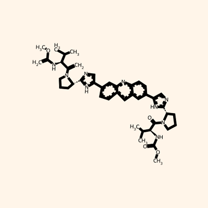 C=C(N[C@H](C(=C)N1CCC[C@H]1c1ncc(-c2ccc3cc4cc(-c5cnc([C@@H]6CCCN6C(=O)[C@@H](NC(=O)OC)C(C)C)[nH]5)ccc4nc3c2)[nH]1)C(C)C)OC